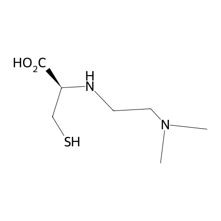 CN(C)CCN[C@@H](CS)C(=O)O